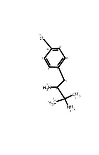 CC(C)(N)C(N)Cc1ccc(Cl)cc1